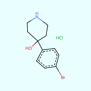 Cl.OC1(c2ccc(Br)cc2)CCNCC1